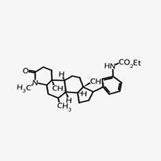 CCOC(=O)Nc1cccc(C2CC[C@H]3[C@@H]4C(C)CC5N(C)C(=O)CC[C@]5(C)[C@@H]4CC[C@]23C)c1